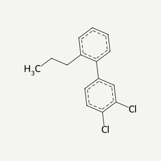 CCCc1ccccc1-c1ccc(Cl)c(Cl)c1